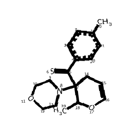 Cc1ccc(C(=S)C2(N3CCOCC3)CC=COC2C)cc1